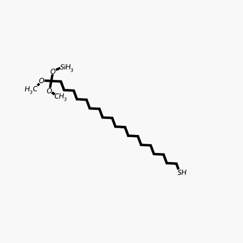 COC(CCCCCCCCCCCCCCCCCCCS)(OC)O[SiH3]